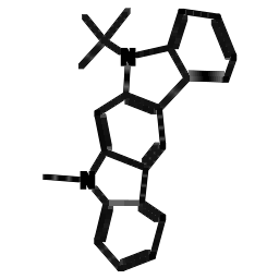 Cn1c2ccccc2c2cc3c4ccccc4n(C(C)(C)C)c3cc21